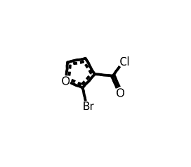 O=C(Cl)c1ccoc1Br